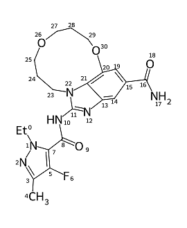 CCn1nc(C)c(F)c1C(=O)Nc1nc2cc(C(N)=O)cc3c2n1CCCOCCCO3